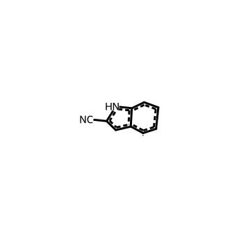 N#Cc1cc2[c]cccc2[nH]1